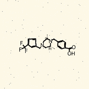 C[C@@H]1CN(Cc2cccc(C(F)(F)F)c2)C[C@H](C)N1Cc1ccc(C(=O)O)cc1